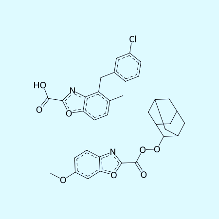 COc1ccc2nc(C(=O)OOC3C4CC5CC(C4)CC3C5)oc2c1.Cc1ccc2oc(C(=O)O)nc2c1Cc1cccc(Cl)c1